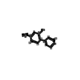 Nc1cc(F)c(-c2cccnc2)cn1